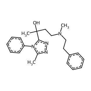 Cc1nnc(C(C)(O)CCN(C)CCc2ccccc2)n1-c1ccccc1